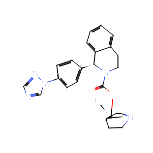 O=C(O[C@@H]1CN2CCC1CC2)N1CCc2ccccc2[C@@H]1c1ccc(-n2cncn2)cc1